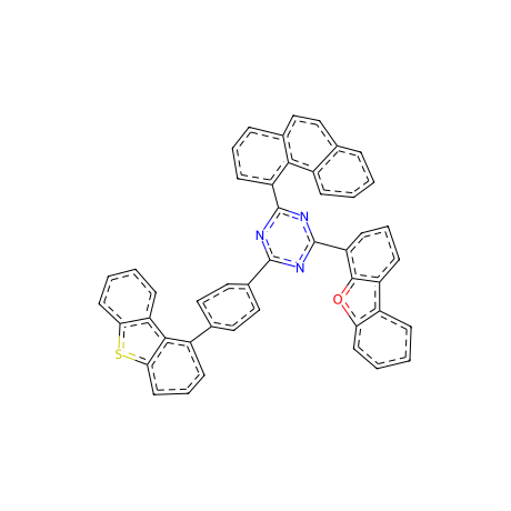 c1ccc2c(c1)ccc1cccc(-c3nc(-c4ccc(-c5cccc6sc7ccccc7c56)cc4)nc(-c4cccc5c4oc4ccccc45)n3)c12